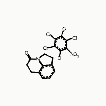 O=C1CCc2cccc3c2N1CC3.O=[N+]([O-])c1c(Cl)c(Cl)c(Cl)c(Cl)c1Cl